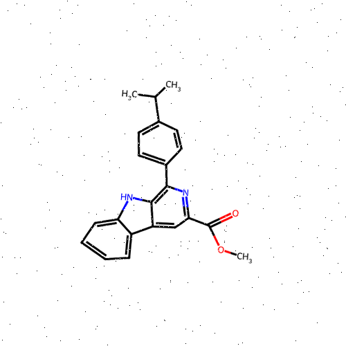 COC(=O)c1cc2c([nH]c3ccccc32)c(-c2ccc(C(C)C)cc2)n1